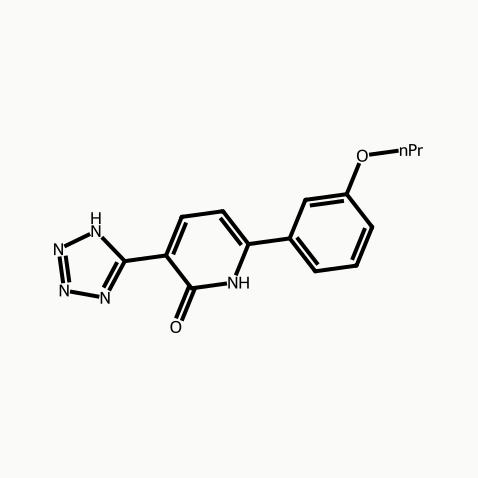 CCCOc1cccc(-c2ccc(-c3nnn[nH]3)c(=O)[nH]2)c1